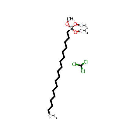 CCCCCCCCCCCCCCCCCC[Si](OC)(OC)OC.ClC(Cl)Cl